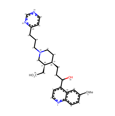 COc1ccc2nccc(C(O)CC[C@@H]3CCN(CCCc4ccncn4)C[C@@H]3CC(=O)O)c2c1